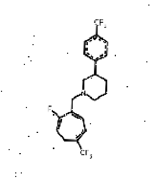 FC1=CCC(C(F)(F)F)=CC=C1CN1CCCC(c2ccc(C(F)(F)F)cc2)C1